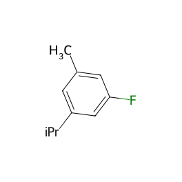 Cc1cc(F)cc(C(C)C)c1